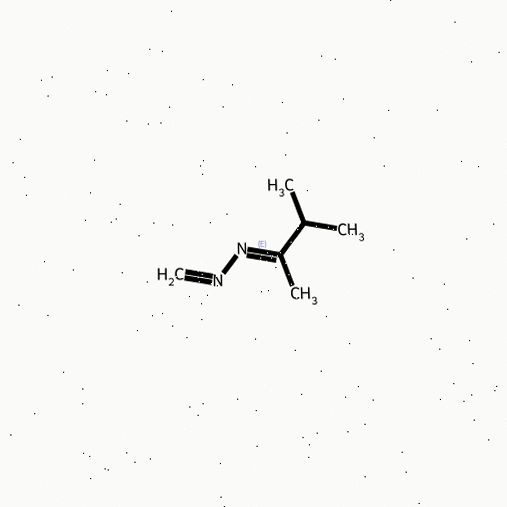 C=N/N=C(\C)C(C)C